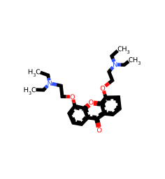 CCN(CC)CCOc1cccc2c(=O)c3cccc(OCCN(CC)CC)c3oc12